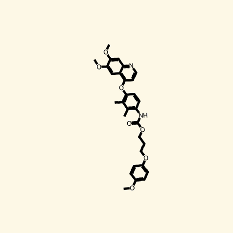 COc1ccc(OCCCOC(=O)Nc2ccc(Oc3ccnc4cc(OC)c(OC)cc34)c(C)c2C)cc1